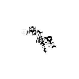 CCCOC(=O)C(C)(C)NP(=O)(CO[C@H](C)Cn1cnc2c(N)ncnc21)OCc1cccc(C(=O)OC(C)C)c1